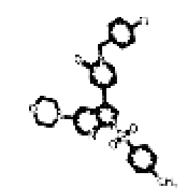 Cc1ccc(S(=O)(=O)n2cc(-c3ccn(Cc4ccc(Cl)cc4)c(=O)c3)c3cc(N4CCOCC4)cnc32)cc1